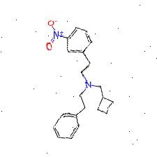 O=[N+]([O-])c1cccc(CCN(CCc2ccccc2)CC2CCC2)c1